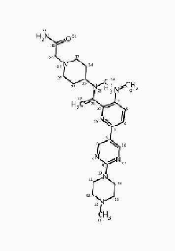 C=Nc1ccc(-c2cnc(N3CCN(C)CC3)nc2)nc1C(=C)N(C)C1CCN(CC(N)=O)CC1